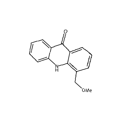 COCc1cccc2c(=O)c3ccccc3[nH]c12